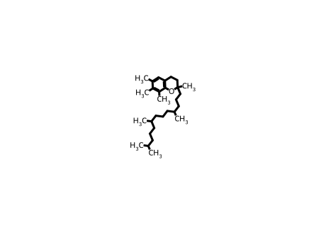 Cc1cc2c(c(C)c1C)OC(C)(CCCC(C)CCCC(C)CCCC(C)C)CC2